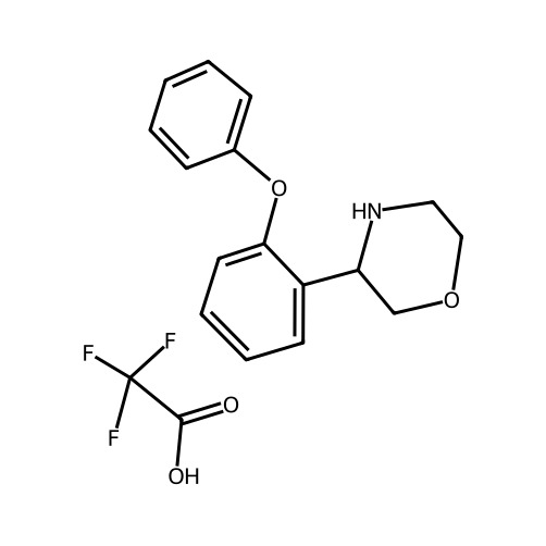 O=C(O)C(F)(F)F.c1ccc(Oc2ccccc2C2COCCN2)cc1